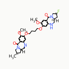 COc1cc2c(cc1OCCCCOc1cc3c(cc1OC)C(=O)N1C[C@@H](F)C[C@H]1CN3)N=C[C@@H]1C[C@H](C)CN1C2=O